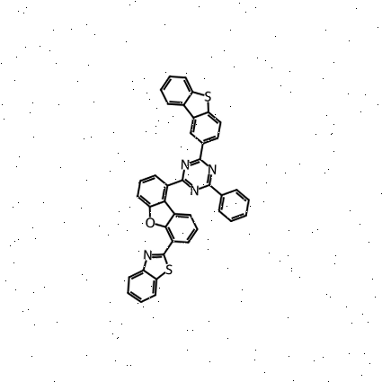 c1ccc(-c2nc(-c3ccc4sc5ccccc5c4c3)nc(-c3cccc4oc5c(-c6nc7ccccc7s6)cccc5c34)n2)cc1